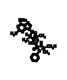 CNc1nc(N)nc2c1ncn2[C@@H]1O[C@](C)(CO[P@@](=O)(N[C@@H](C)C(=O)O)Oc2ccccc2)[C@@H](O)[C@@]1(C)F